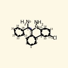 N/C(=C1/c2ccccc2-c2cc(Cl)ccc2N1N)c1ccccc1